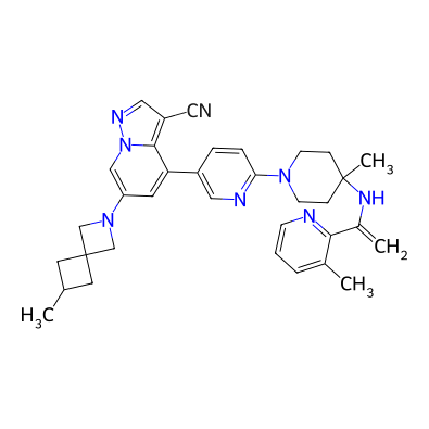 C=C(NC1(C)CCN(c2ccc(-c3cc(N4CC5(CC(C)C5)C4)cn4ncc(C#N)c34)cn2)CC1)c1ncccc1C